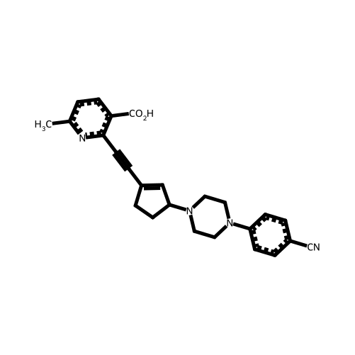 Cc1ccc(C(=O)O)c(C#CC2=CC(N3CCN(c4ccc(C#N)cc4)CC3)CC2)n1